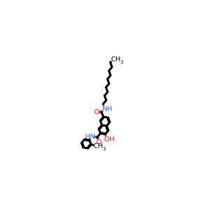 CCCCCCCCCCCCNC(=O)c1ccc2cc(O)c(C(=O)Nc3ccccc3C)cc2c1